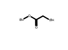 CCC(C)OC(=O)CC(C)(C)C